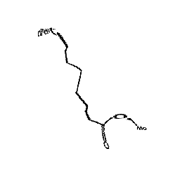 CCCCCCCCCCCC(=O)[O][Mo]